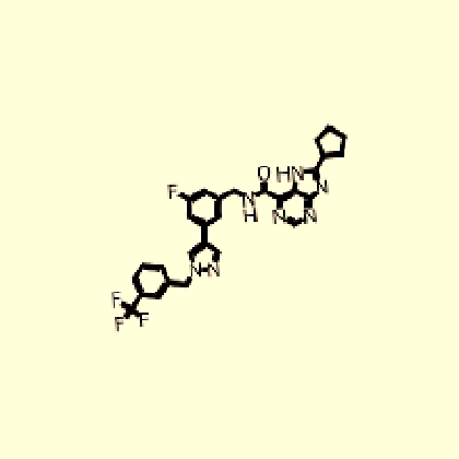 O=C(NCc1cc(F)cc(-c2cnn(Cc3cccc(C(F)(F)F)c3)c2)c1)c1ncnc2nc(C3CCCC3)[nH]c12